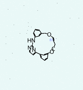 C1=C/OCc2cccc(c2)Nc2nccc(n2)-c2cccc(c2)OCC/1